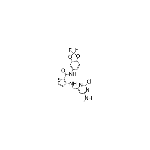 CNc1cc(CNc2ccsc2C(=O)Nc2ccc3c(c2)OC(F)(F)O3)nc(Cl)n1